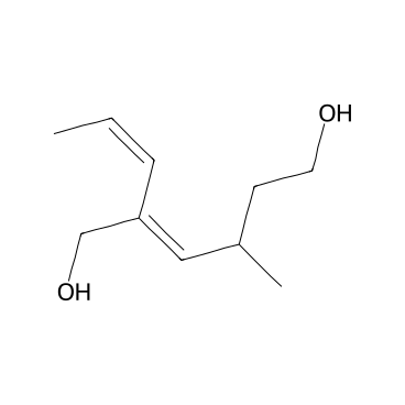 C/C=C\C(=C/C(C)CCO)CO